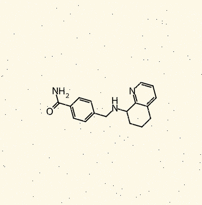 NC(=O)c1ccc(CNC2CCCc3cccnc32)cc1